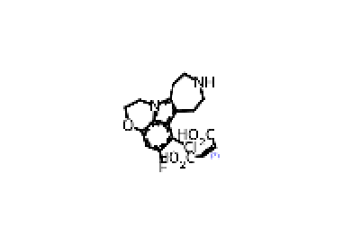 Fc1cc2c3c(c1Cl)c1c(n3CCO2)CCNCC1.O=C(O)/C=C\C(=O)O